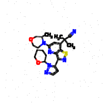 CC1COCCN1c1cc(C(C)(C)C#N)c2snc(-c3ccnn3C3CCCCO3)c2n1